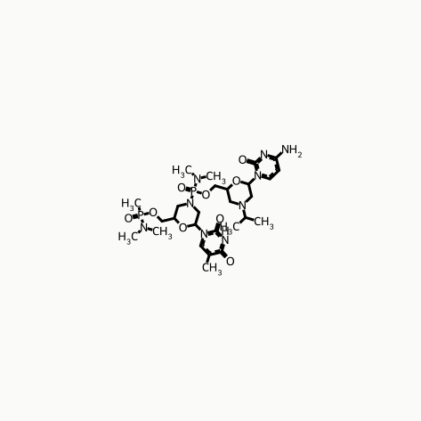 Cc1cn(C2CN(P(=O)(OCC3CN(C(C)C)CC(n4ccc(N)nc4=O)O3)N(C)C)CC(COP(C)(=O)N(C)C)O2)c(=O)[nH]c1=O